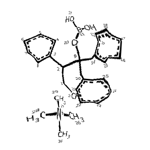 CCC(c1ccccc1)C(OB(O)O)(c1ccccc1)c1ccccc1.C[N+](C)(C)C